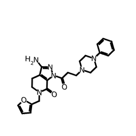 Nc1nn(C(=O)CCN2CCN(c3ccccc3)CC2)c2c1CCN(Cc1ccco1)C2=O